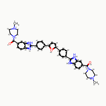 CN1CCN(C(=O)c2ccc3nc(-c4ccc(-c5ccc(-c6ccc(-c7nc8ccc(C(=O)N9CCN(C)CC9)cc8[nH]7)cc6)o5)cc4)[nH]c3c2)CC1